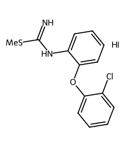 CSC(=N)Nc1ccccc1Oc1ccccc1Cl.I